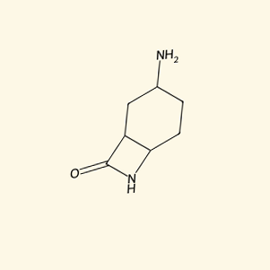 NC1CCC2NC(=O)C2C1